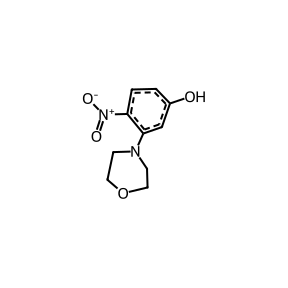 O=[N+]([O-])c1ccc(O)cc1N1CCOCC1